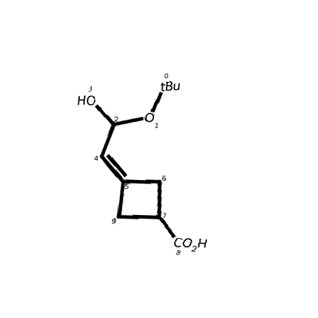 CC(C)(C)OC(O)C=C1CC(C(=O)O)C1